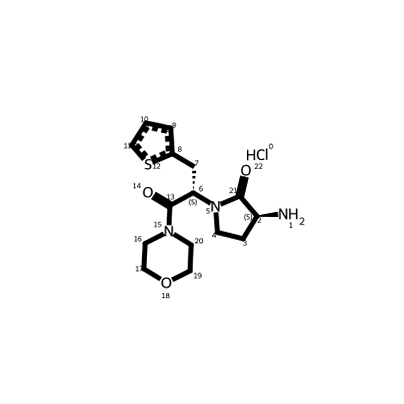 Cl.N[C@H]1CCN([C@@H](Cc2cccs2)C(=O)N2CCOCC2)C1=O